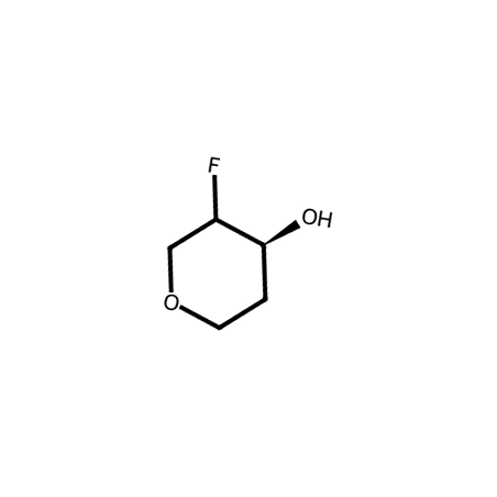 O[C@H]1CCOCC1F